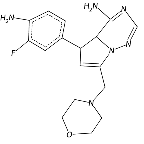 NC1=NC=NN2C(CN3CCOCC3)=CC(c3ccc(N)c(F)c3)C12